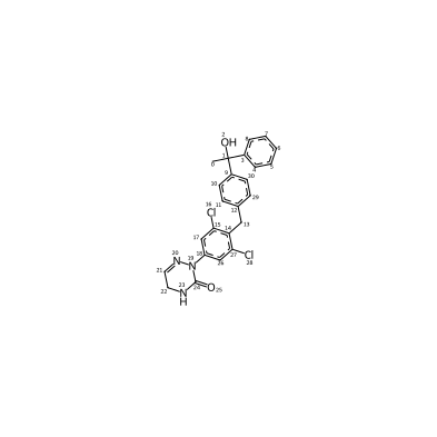 CC(O)(c1ccccc1)c1ccc(Cc2c(Cl)cc(N3N=CCNC3=O)cc2Cl)cc1